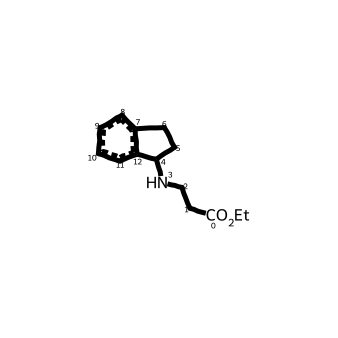 CCOC(=O)CCNC1CCc2ccccc21